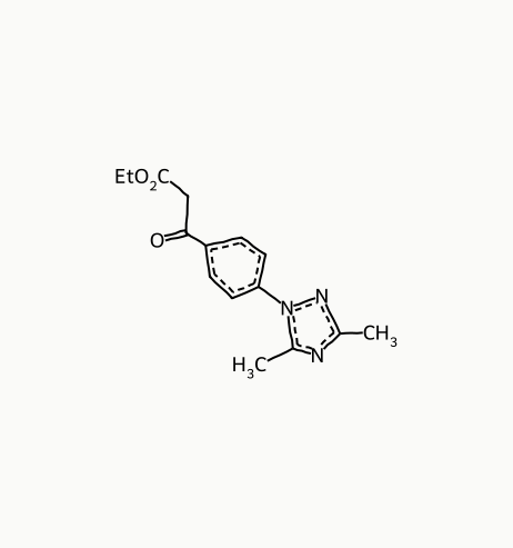 CCOC(=O)CC(=O)c1ccc(-n2nc(C)nc2C)cc1